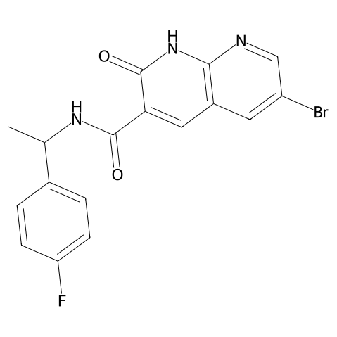 CC(NC(=O)c1cc2cc(Br)cnc2[nH]c1=O)c1ccc(F)cc1